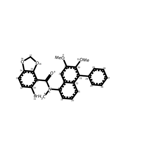 COc1cc2c(N(C)C(=O)c3c(Br)ccc4c3OCO4)cccc2c(-c2ccccc2)c1OC